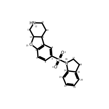 O=S(=O)(c1ccc2c(c1)C1CCNCC1O2)N1CCc2ccccc21